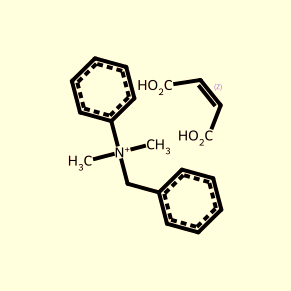 C[N+](C)(Cc1ccccc1)c1ccccc1.O=C(O)/C=C\C(=O)O